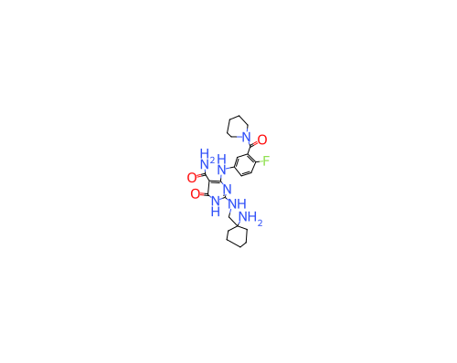 NC(=O)c1c(Nc2ccc(F)c(C(=O)N3CCCCC3)c2)nc(NCC2(N)CCCCC2)[nH]c1=O